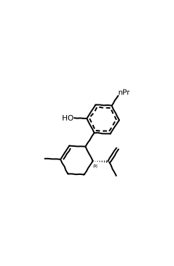 C=C(C)[C@@H]1CCC(C)=CC1c1ccc(CCC)cc1O